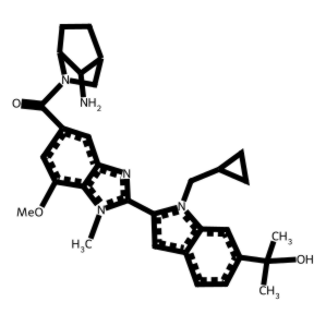 COc1cc(C(=O)N2CC3CCC2C3N)cc2nc(-c3cc4ccc(C(C)(C)O)cc4n3CC3CC3)n(C)c12